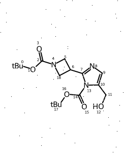 CC(C)(C)OC(=O)N1CC(c2ncc(CO)n2C(=O)OC(C)(C)C)C1